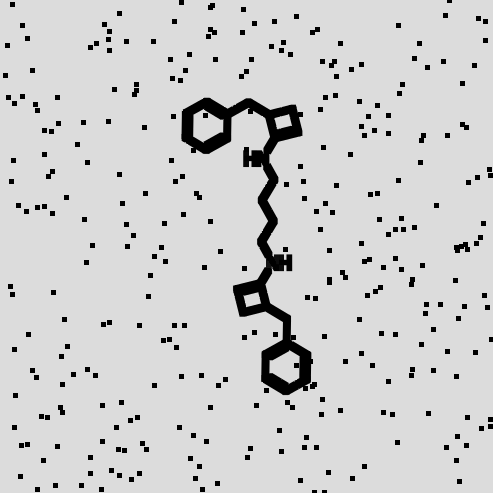 C1=C(NCCCCNC2=CCC2Cc2ccccc2)C(Cc2ccccc2)C1